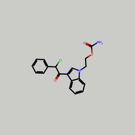 NC(=O)OCCn1cc(C(=O)C(Cl)c2ccccc2)c2ccccc21